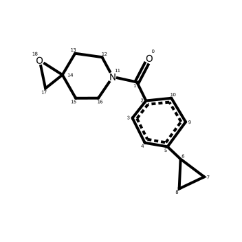 O=C(c1ccc(C2CC2)cc1)N1CCC2(CC1)CO2